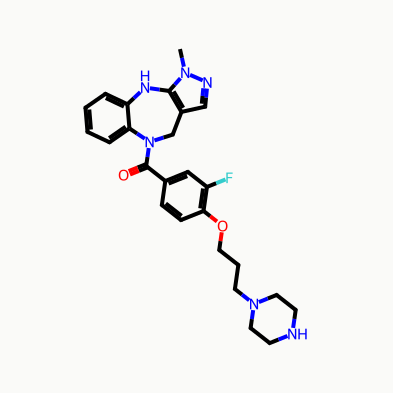 Cn1ncc2c1Nc1ccccc1N(C(=O)c1ccc(OCCCN3CCNCC3)c(F)c1)C2